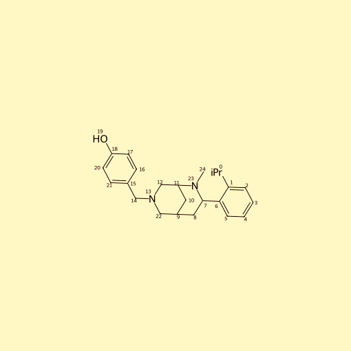 CC(C)c1ccccc1C1CC2CC(CN(Cc3ccc(O)cc3)C2)N1C